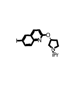 CC(C)N1CC[C@@H](Oc2ccc3cc(I)ccc3n2)C1